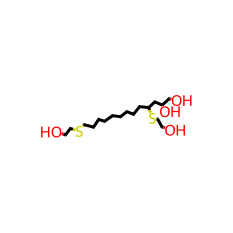 OCCSCCCCCCCCCC(CC(O)CO)SCCO